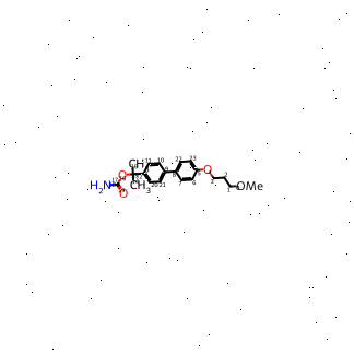 COCCCOc1ccc(-c2ccc(C(C)(C)OC(N)=O)cc2)cc1